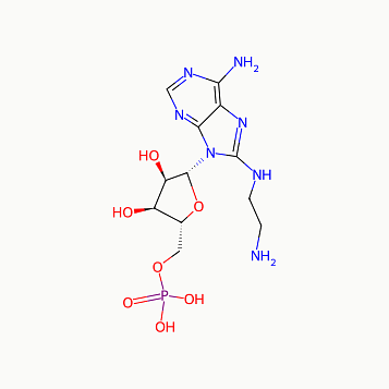 NCCNc1nc2c(N)ncnc2n1[C@@H]1O[C@H](COP(=O)(O)O)[C@@H](O)[C@H]1O